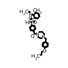 C=C/N=C1\C(=C)C=CC=C1S(=O)(=O)Nc1ccc(C(=O)N2CCCN(Cc3ccc(OCCC)cc3)CC2)cc1